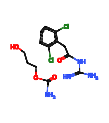 N=C(N)NC(=O)Cc1c(Cl)cccc1Cl.NC(=O)OCCCO